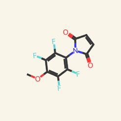 COc1c(F)c(F)c(N2C(=O)C=CC2=O)c(F)c1F